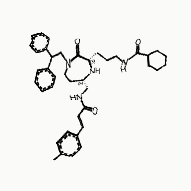 Cc1ccc(C=CC(=O)NC[C@@H]2CCN(CC(c3ccccc3)c3ccccc3)C(=O)[C@H](CCCNC(=O)C3CCCCC3)N2)cc1